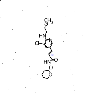 COCCNc1ncc(/C=C/C(=O)NOC2CCCCO2)cc1Cl